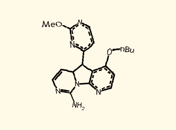 CCCCOc1ccnc2c1C(c1ccnc(OC)n1)C1C=CN=C(N)N21